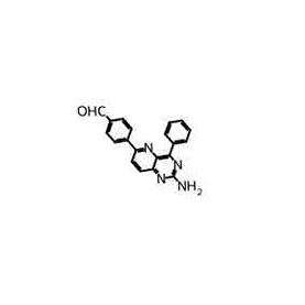 Nc1nc(-c2ccccc2)c2nc(-c3ccc(C=O)cc3)ccc2n1